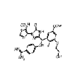 COc1cc(OCCO)c(F)c(C(Nc2ccc(C(=N)N)cc2)c2nn(-c3ncsc3C(=O)O)c(=O)[nH]2)c1